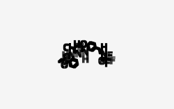 CCS(=O)(=O)c1ccccc1Nc1nc(Nc2cc(CCNC(=O)C(F)(F)F)ccc2O)ncc1Cl